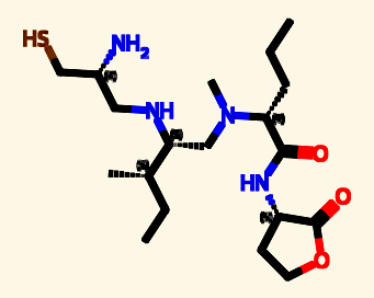 CCC[C@H](C(=O)N[C@H]1CCOC1=O)N(C)C[C@@H](NC[C@@H](N)CS)[C@@H](C)CC